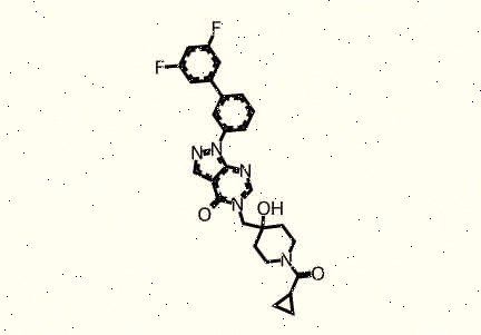 O=C(C1CC1)N1CCC(O)(Cn2cnc3c(cnn3-c3cccc(-c4cc(F)cc(F)c4)c3)c2=O)CC1